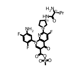 CC(C)[C@H](N)C(=O)N[C@H]1CCN(c2nc3c(cc2F)c(=O)c(C(=O)OS(C)(=O)=O)cn3-c2cc(N)c(F)cc2F)C1